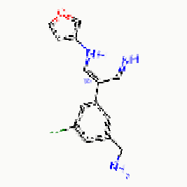 N=C/C(=C\Nc1ccoc1)c1cc(F)cc(CN)c1